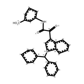 O=C(Nc1cccc(C(=O)O)c1)C(=O)c1cn(C(c2ccccc2)c2ccccc2)c2ccccc12